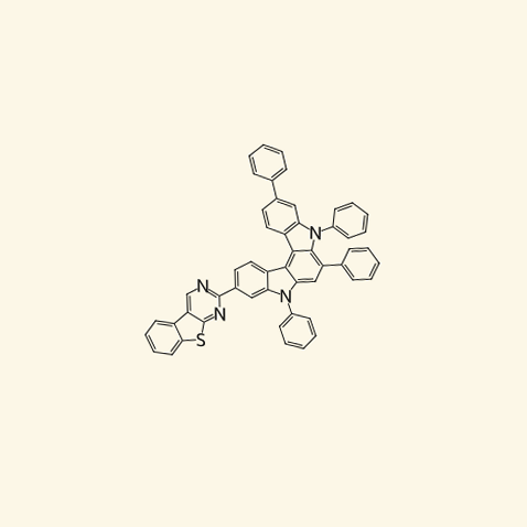 c1ccc(-c2ccc3c4c5c6ccc(-c7ncc8c(n7)sc7ccccc78)cc6n(-c6ccccc6)c5cc(-c5ccccc5)c4n(-c4ccccc4)c3c2)cc1